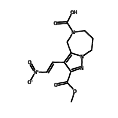 COC(=O)c1nn2c(c1C=C[N+](=O)[O-])CN(C(=O)O)CCC2